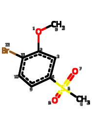 COc1cc(S(C)(=O)=O)ccc1Br